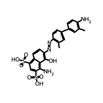 Cc1cc(-c2ccc(/N=N/c3ccc4c(S(=O)(=O)O)cc(S(=O)(=O)O)c(N)c4c3O)c(C)c2)ccc1N